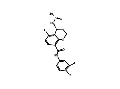 CC(C)(C)[S@+]([O-])N[C@H]1CCSc2c(C(=O)Nc3ccc(F)c(F)c3)ccc(F)c21